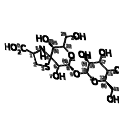 O=C(O)C1CSC2(N1)C(O)[C@H](OC1O[C@H](CO)C(O)C(O)[C@@H]1O)OC(CO)[C@@H]2O